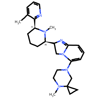 Cc1cccnc1[C@@H]1CCC[C@H](C2CN3C(N4CCN(C)C5(CC5)C4)=CC=CC3=N2)N1C